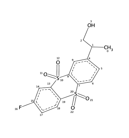 CC(CO)c1ccc2c(c1)S(=O)(=O)c1cc(F)ccc1S2(=O)=O